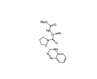 COC(=O)N[C@H](C(=O)N1CCC[C@H]1C1N=Nc2ccccc2N1)C(C)C